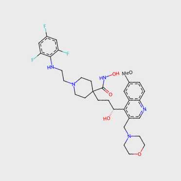 COc1ccc2ncc(CN3CCOCC3)c([C@H](O)CCC3(C(=O)NO)CCN(CCNc4c(F)cc(F)cc4F)CC3)c2c1